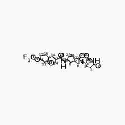 O=C1CCC(N2Cc3cc(NC(=O)C4=Cc5ccc(OC(F)(F)F)cc5OC4)ccc3C2=O)C(=O)N1